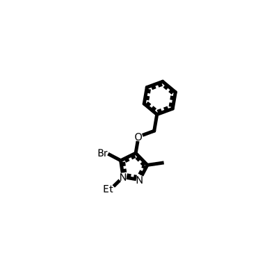 CCn1nc(C)c(OCc2ccccc2)c1Br